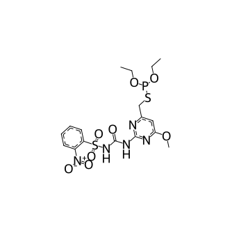 CCOP(OCC)SCc1cc(OC)nc(NC(=O)NS(=O)(=O)c2ccccc2[N+](=O)[O-])n1